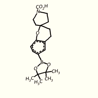 CC1(C)OB(c2ccc3c(c2)CCC2(CCN(C(=O)O)CC2)O3)OC1(C)C